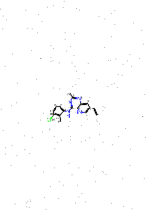 C=CC1=CNC2C(=C1)N=C(C)N=C2Nc1cccc(Cl)c1C